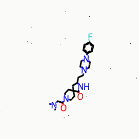 CN(C)CC(=O)N1CCC2(CC1)CC(CCN1CCN(c3ccc(F)cc3)CC1)NC2=O